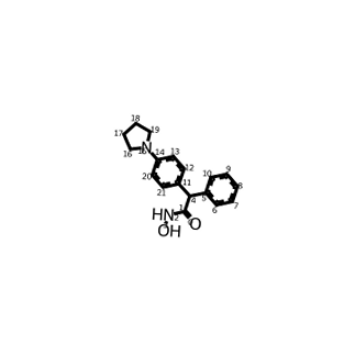 O=C(NO)C(c1ccccc1)c1ccc(N2CCCC2)cc1